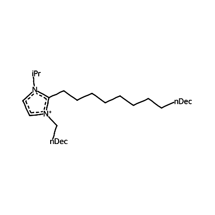 CCCCCCCCCCCCCCCCCCc1n(C(C)C)cc[n+]1CCCCCCCCCCC